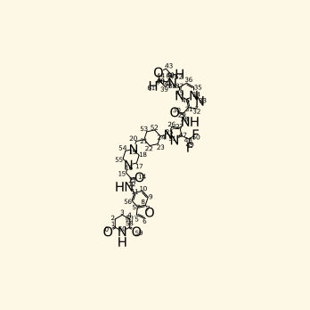 O=C1CC[C@H](c2coc3ccc(NC(=O)CN4CCN(CC5CCC(n6cc(NC(=O)c7cnn8ccc(N9C[C@H]%10C[C@@H]9CO%10)nc78)c(C(F)F)n6)CC5)CC4)cc23)C(=O)N1